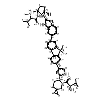 CNC(C(=O)N1[C@@H]2CC[C@@H](C2)[C@H]1c1nc2ccc(-c3ccc4c(c3)C(F)(F)c3cc(-c5c[nH]c([C@@H]6CCC7(CC7)CN6C(=O)C(N)C(C)C)n5)ccc3-4)cc2[nH]1)C(C)C